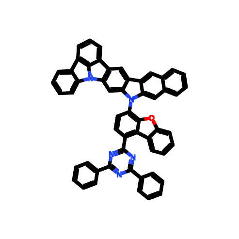 c1ccc(-c2nc(-c3ccccc3)nc(-c3ccc(-n4c5cc6ccccc6cc5c5cc6c7cccc8c9ccccc9n(c6cc54)c87)c4oc5ccccc5c34)n2)cc1